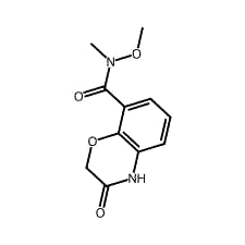 CON(C)C(=O)c1cccc2c1OCC(=O)N2